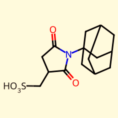 O=C1CC(CS(=O)(=O)O)C(=O)N1C12CC3CC(CC(C3)C1)C2